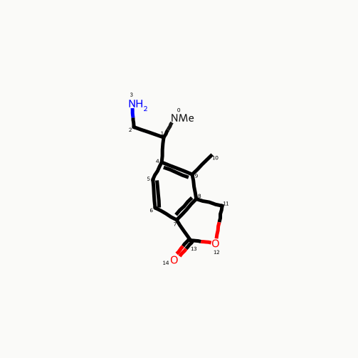 CNC(CN)c1ccc2c(c1C)COC2=O